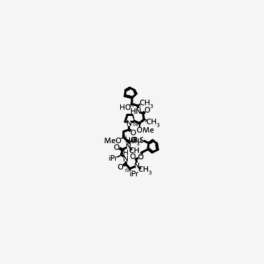 CC[C@H](C)[C@@H]([C@@H](CC(=O)N1CCC[C@H]1[C@H](OC)[C@@H](C)C(=O)N[C@H](C)[C@@H](O)c1ccccc1)OC)N(C)C(=O)[C@@H](NC(=O)[C@H](C(C)C)N(C)C(=O)OCc1ccccc1S(=O)(=O)O)C(C)C